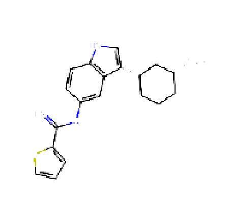 CN[C@@H]1CCC[C@H](c2c[nH]c3ccc(NC(=N)c4cccs4)cc23)C1